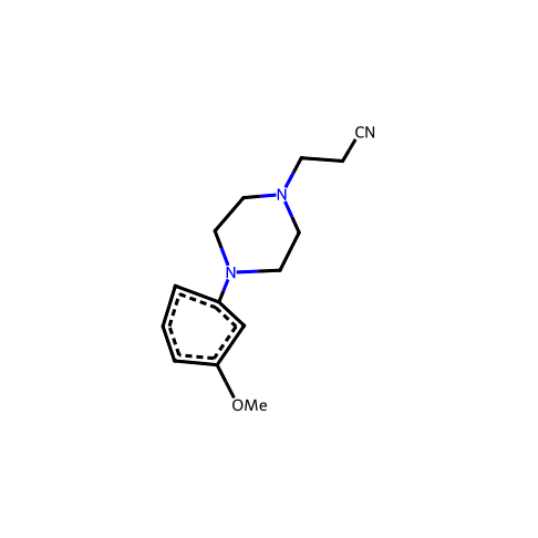 COc1cccc(N2CCN(CCC#N)CC2)c1